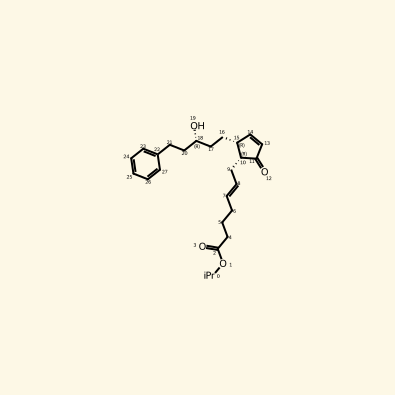 CC(C)OC(=O)CCCC=CC[C@H]1C(=O)C=C[C@H]1CC[C@@H](O)CCc1ccccc1